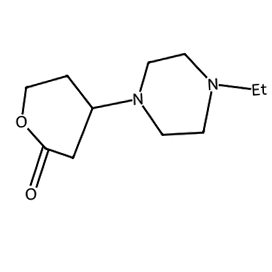 CCN1CCN(C2CCOC(=O)C2)CC1